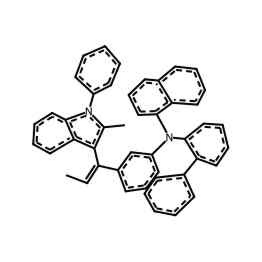 C/C=C(/c1cccc(N(c2ccccc2-c2ccccc2)c2cccc3ccccc23)c1)c1c(C)n(-c2ccccc2)c2ccccc12